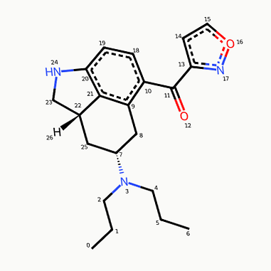 CCCN(CCC)[C@H]1Cc2c(C(=O)c3ccon3)ccc3c2[C@@H](CN3)C1